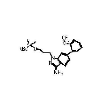 CC(C)(C)[Si](C)(C)OCCCn1nc(N)c2ccc(-c3ccccc3OC(F)(F)F)cc21